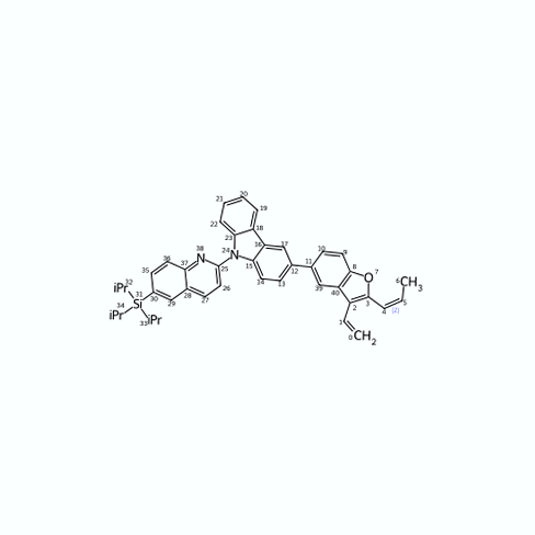 C=Cc1c(/C=C\C)oc2ccc(-c3ccc4c(c3)c3ccccc3n4-c3ccc4cc([Si](C(C)C)(C(C)C)C(C)C)ccc4n3)cc12